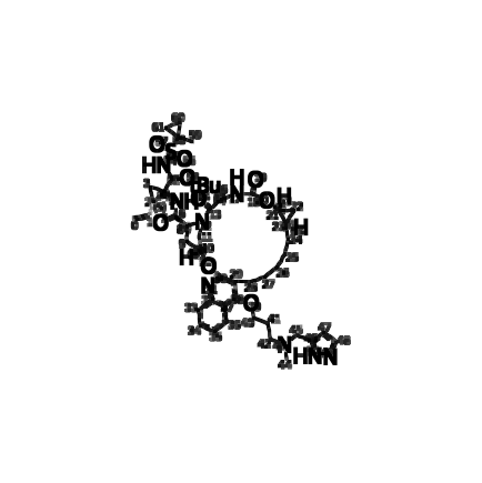 C=C[C@@H]1C[C@]1(NC(=O)[C@@H]1C[C@@H]2CN1C(=O)[C@H](C(C)(C)C)NC(=O)O[C@@H]1C[C@H]1CCCCCc1c(nc3ccccc3c1OCCCN(C)Cc1ccn[nH]1)O2)C(=O)NS(=O)(=O)C1(C)CC1